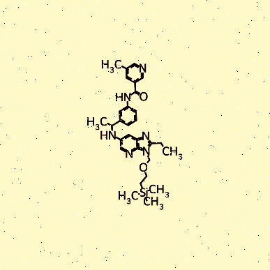 CCc1nc2cc(NC(C)c3cccc(NC(=O)c4cncc(C)c4)c3)cnc2n1COCC[Si](C)(C)C